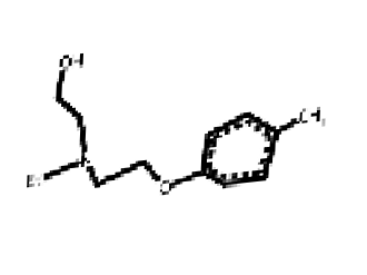 CCN(CCO)CCOc1ccc(C)cc1